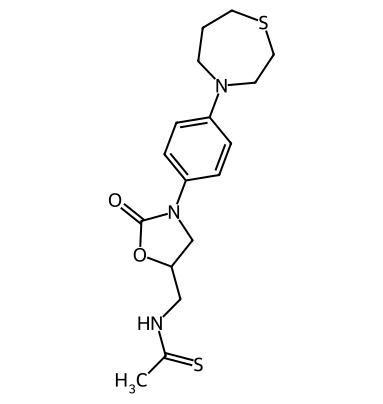 CC(=S)NCC1CN(c2ccc(N3CCCSCC3)cc2)C(=O)O1